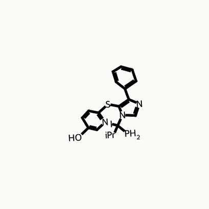 CC(C)C(P)(I)n1cnc(-c2ccccc2)c1Sc1ccc(O)cn1